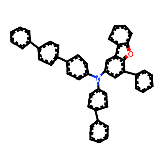 c1ccc(-c2ccc(-c3ccc(N(c4ccc(-c5ccccc5)cc4)c4cc(-c5ccccc5)c5oc6ccccc6c5c4)cc3)cc2)cc1